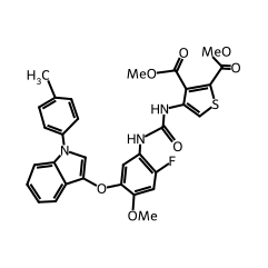 COC(=O)c1scc(NC(=O)Nc2cc(Oc3cn(-c4ccc(C)cc4)c4ccccc34)c(OC)cc2F)c1C(=O)OC